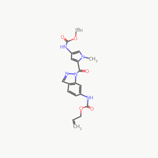 C=CCOC(=O)Nc1ccc2cnn(C(=O)c3cc(NC(=O)OC(C)(C)C)cn3C)c2c1